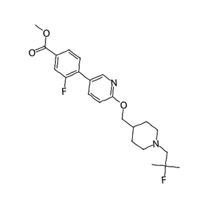 COC(=O)c1ccc(-c2ccc(OCC3CCN(CC(C)(C)F)CC3)nc2)c(F)c1